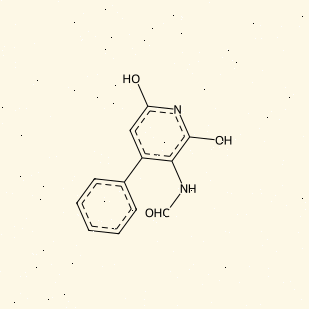 O=CNc1c(-c2ccccc2)cc(O)nc1O